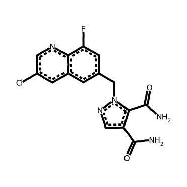 NC(=O)c1cnn(Cc2cc(F)c3ncc(Cl)cc3c2)c1C(N)=O